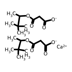 CC(OC(=O)CC(=O)[O-])C(C)(C)C.CC(OC(=O)CC(=O)[O-])C(C)(C)C.[Ca+2]